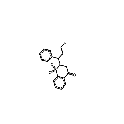 O=C1CN(C(CCCl)c2ccccc2)S(=O)(=O)c2ccccc21